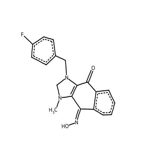 CN1CN(Cc2ccc(F)cc2)C2=C1C(=NO)c1ccccc1C2=O